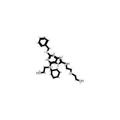 OCCOCCNc1nc2nc(SCc3ccccc3)nc(N(CCO)C3CCCCC3)c2s1